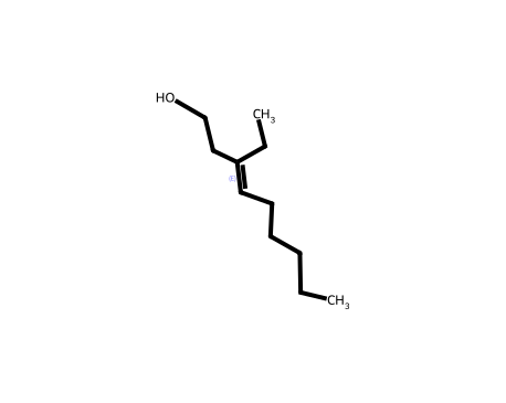 CCCCC/C=C(\CC)CCO